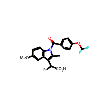 COc1ccc2c(c1)c(C(C(=O)O)C(C)C)c(C)n2C(=O)c1ccc(OC(F)F)cc1